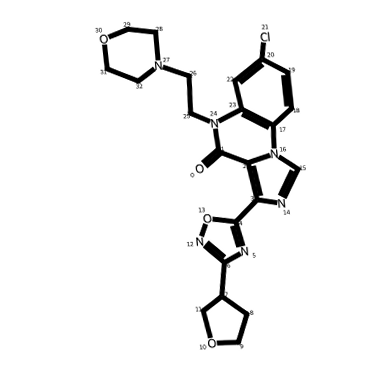 O=c1c2c(-c3nc(C4CCOC4)no3)ncn2c2ccc(Cl)cc2n1CCN1CCOCC1